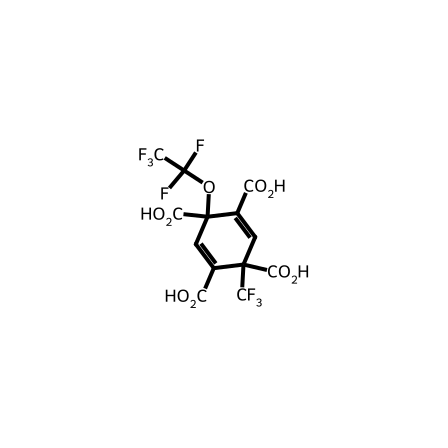 O=C(O)C1=CC(C(=O)O)(C(F)(F)F)C(C(=O)O)=CC1(OC(F)(F)C(F)(F)F)C(=O)O